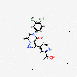 CC(O)c1cc(-c2cnn3c2C(=O)N(c2ccc(Cl)c(Cl)c2)CC3C)ccn1